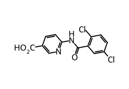 O=C(O)c1ccc(NC(=O)c2cc(Cl)ccc2Cl)nc1